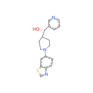 O[C@H](c1cccnc1)C1CCN(c2ccc3ncsc3c2)CC1